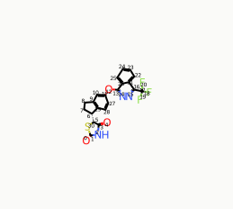 O=C1NC(=O)C([C@@H]2CCc3cc(Oc4nnc(C(F)(F)F)c5ccccc45)ccc32)S1